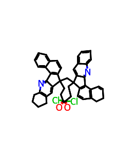 O=C(Cl)CCC1(CC2(CCC(=O)Cl)c3cc4c(nc3-c3c2ccc2ccccc32)CCCC4)c2cc3ccccc3nc2-c2c1ccc1c2C=CCC1